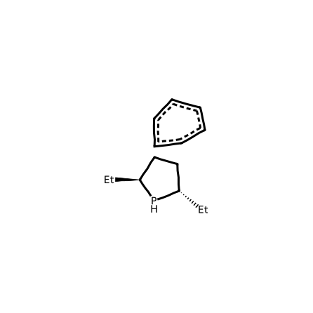 CC[C@H]1CC[C@H](CC)P1.c1ccccc1